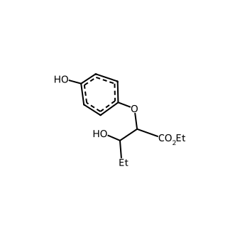 CCOC(=O)C(Oc1ccc(O)cc1)C(O)CC